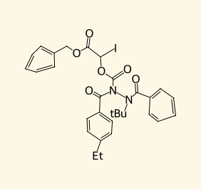 CCc1ccc(C(=O)N(C(=O)OC(I)C(=O)OCc2ccccc2)N(C(=O)c2ccccc2)C(C)(C)C)cc1